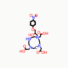 O=C(O)CN1CCNCC[N+](CC(=O)O)(CC(O)COc2ccc([N+](=O)[O-])cc2)CCN(CC(=O)O)CC1